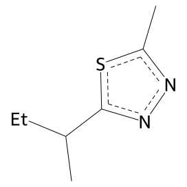 CCC(C)c1nnc(C)s1